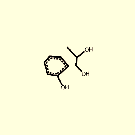 CC(O)CO.Oc1ccccc1